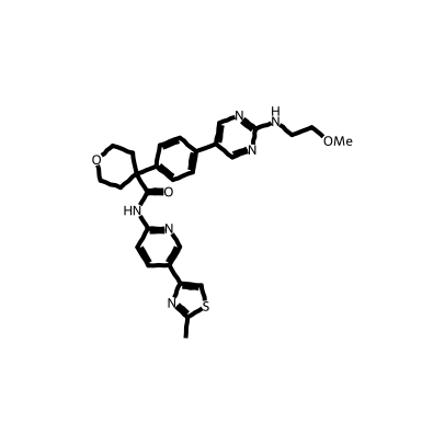 COCCNc1ncc(-c2ccc(C3(C(=O)Nc4ccc(-c5csc(C)n5)cn4)CCOCC3)cc2)cn1